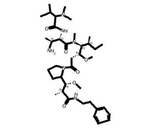 CC[C@H](C)[C@@H]([C@@H](CC(=O)N1CCCC1[C@H](OC)[C@@H](C)C(=O)NCCc1ccccc1)OC)N(C)C(=O)[C@@H](NC(=O)C(C(C)C)N(C)C)[C@H](C)N